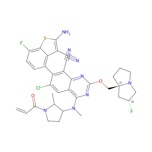 C=CC(=O)N1CCC(N(C)c2nc(OC[C@@]34CCCN3C[C@H](F)C4)nc3c(C#N)c(-c4ccc(F)c5sc(N)c(C#N)c45)c(Cl)cc23)C1C